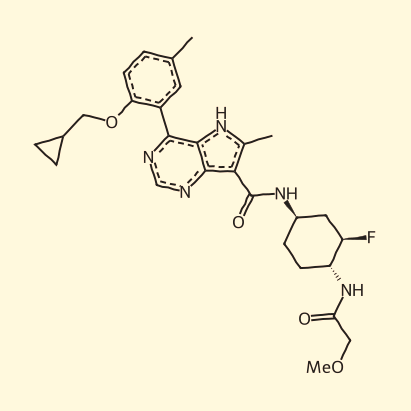 COCC(=O)N[C@@H]1CC[C@@H](NC(=O)c2c(C)[nH]c3c(-c4cc(C)ccc4OCC4CC4)ncnc23)C[C@H]1F